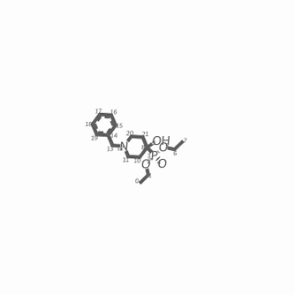 CCOP(=O)(OCC)C1(O)CCN(Cc2ccccc2)CC1